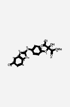 CCC(=O)C(O)(Oc1ccc(Oc2nc3cc(Cl)ccc3o2)cc1)C(=O)OC